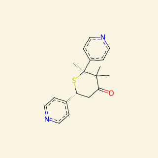 CC1(C)C(=O)C[C@H](c2ccncc2)S[C@@]1(C)c1ccncc1